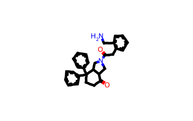 NCc1ccccc1CC(=O)N1CC2C(=O)CCC(c3ccccc3)(c3ccccc3)C2C1